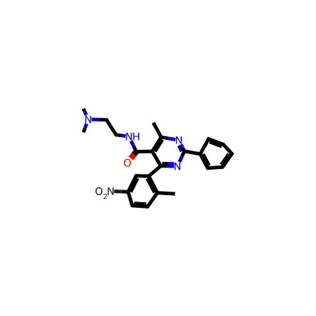 Cc1ccc([N+](=O)[O-])cc1-c1nc(-c2ccccc2)nc(C)c1C(=O)NCCN(C)C